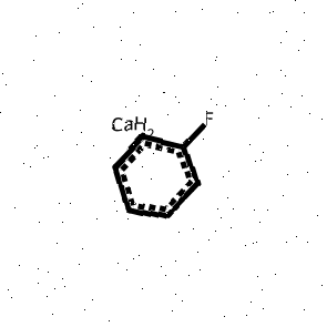 Fc1ccccc1.[CaH2]